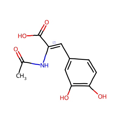 CC(=O)N/C(=C\c1ccc(O)c(O)c1)C(=O)O